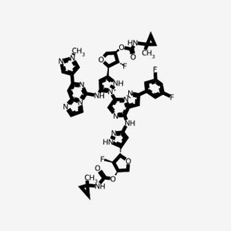 Cn1cc(-c2cc3nccn3c(Nc3cc([C@H]4OC[C@@H](OC(=O)NC5(C)CC5)[C@@H]4F)[nH][n+]3-c3cnc(Nc4cc([C@@H]5OC[C@H](OC(=O)NC6(C)CC6)[C@H]5F)[nH]n4)c4cc(-c5cc(F)cc(F)c5)nn34)n2)cn1